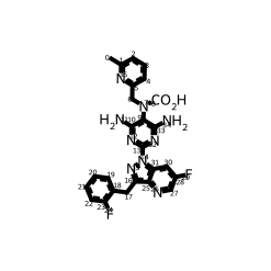 Cc1cccc(CN(C(=O)O)c2c(N)nc(-n3nc(Cc4ccccc4F)c4ncc(F)cc43)nc2N)n1